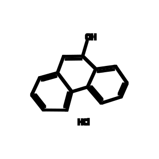 Cl.Oc1cc2ccccc2c2ccccc12